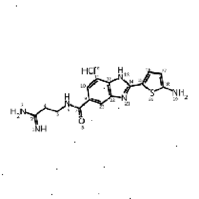 Cl.N=C(N)CCNC(=O)c1ccc2[nH]c(-c3ccc(N)s3)nc2c1